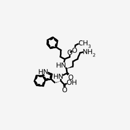 CCOOCC(CCc1ccccc1)N[C@@H](CCCCN)C(=O)N[C@@H](Cc1c[nH]c2ccccc12)C(=O)O